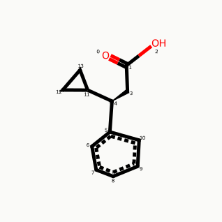 O=C(O)C[C@@H](c1ccccc1)C1CC1